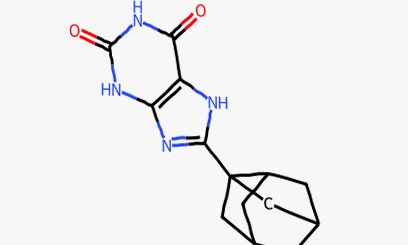 O=c1[nH]c(=O)c2[nH]c(C34CC5CC(CC3C5)C4)nc2[nH]1